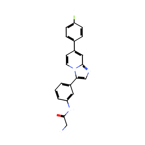 NCC(=O)Nc1cccc(-c2cnc3cc(-c4ccc(F)cc4)ccn23)c1